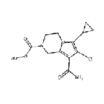 CC(C)(C)OC(=O)N1CCn2c(c(C(N)=O)c(Cl)c2C2CC2)C1